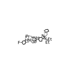 CCC(CC)n1c(Cc2cccs2)nc2cc(C(=O)N[C@@H](CC(C)C)C(=O)NCc3ccc(F)cc3)ccc21